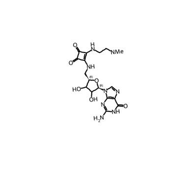 CNCCNc1c(NC[C@H]2O[C@@H](n3cnc4c(=O)[nH]c(N)nc43)C(O)C2O)c(=O)c1=O